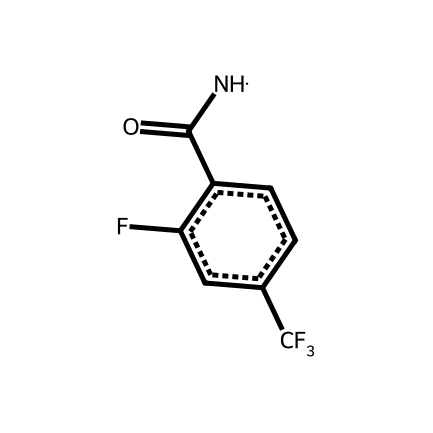 [NH]C(=O)c1ccc(C(F)(F)F)cc1F